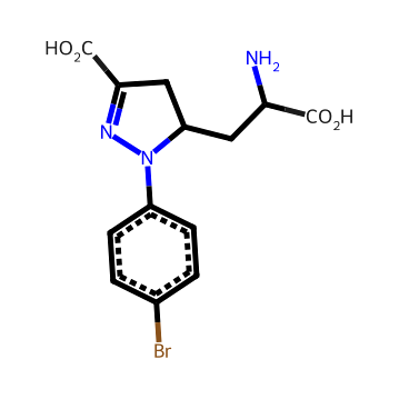 NC(CC1CC(C(=O)O)=NN1c1ccc(Br)cc1)C(=O)O